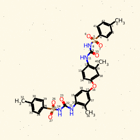 Cc1ccc(S(=O)(=O)NC(=O)Nc2ccc(Oc3ccc(NC(=O)NS(=O)(=O)c4ccc(C)cc4)c(C)c3)cc2C)cc1